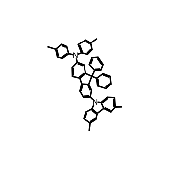 Cc1ccc(N(c2ccc(C)cc2)c2ccc3c(c2)C(c2ccccc2)(c2ccccc2)c2cc(-n4c5ccc(C)cc5c5cc(C)ccc54)ccc2-3)cc1